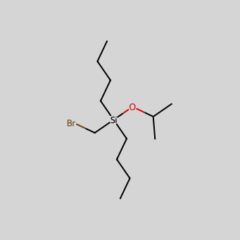 CCCC[Si](CBr)(CCCC)OC(C)C